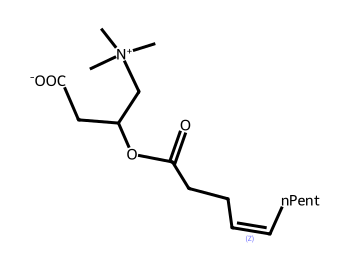 CCCCC/C=C\CCC(=O)OC(CC(=O)[O-])C[N+](C)(C)C